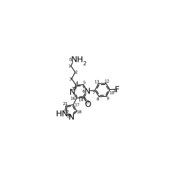 NCCCc1cn(-c2ccc(F)cc2)c(=O)c(-c2cn[nH]c2)n1